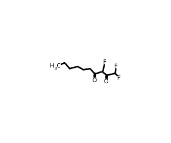 CCCCCCC(=O)C(F)C(=O)C(F)F